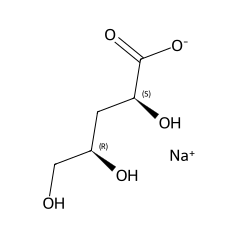 O=C([O-])[C@@H](O)C[C@@H](O)CO.[Na+]